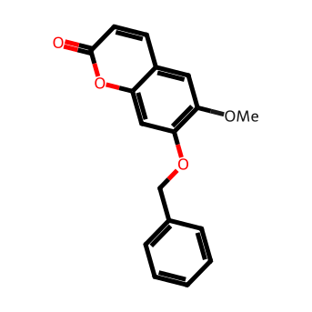 COc1cc2ccc(=O)oc2cc1OCc1ccccc1